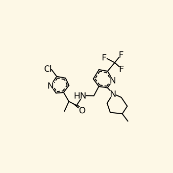 CC1CCN(c2nc(C(F)(F)F)ccc2CNC(=O)C(C)c2ccc(Cl)nc2)CC1